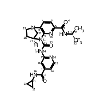 C[C@@H](NC(=O)c1ccc2c(n1)N(C(=O)Nc1cc(C(=O)NC3CC3)ccn1)[C@H]1CCN2C1)C(F)(F)F